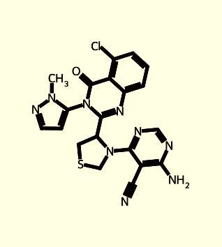 Cn1nccc1-n1c(C2CSCN2c2ncnc(N)c2C#N)nc2cccc(Cl)c2c1=O